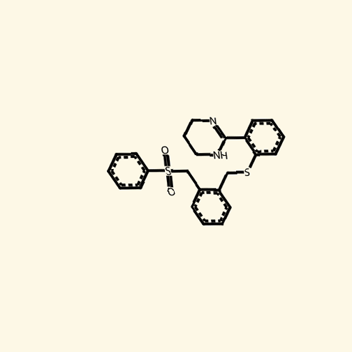 O=S(=O)(Cc1ccccc1CSc1ccccc1C1=NCCCN1)c1ccccc1